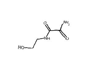 NC(=O)C(=O)NCCO